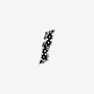 CCOc1ccc(C2=CCC(C(=O)Oc3ccc(-c4ccc(OCC)c(F)c4F)cc3F)CC2)c(F)c1F